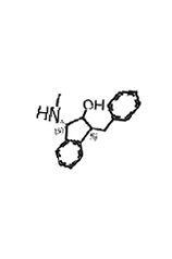 CN[C@H]1c2ccccc2[C@H](Cc2ccccc2)C1O